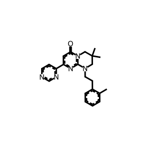 Cc1ccccc1CCN1CC(C)(C)Cn2c1nc(-c1ccncn1)cc2=O